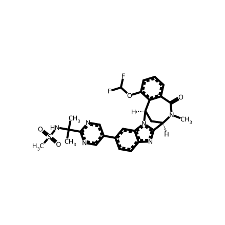 CN1C(=O)c2cccc(OC(F)F)c2[C@H]2C[C@@H]1c1nc3ccc(-c4cnc(C(C)(C)NS(C)(=O)=O)nc4)cc3n12